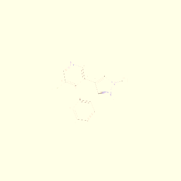 CCn1cc(-c2cncc(Cl)c2)cn1.c1ccccc1